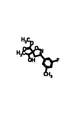 COC(=O)C1(C(C)O)CC(c2cc(C)cc(F)c2)=NO1